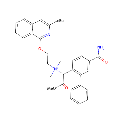 CCCCc1cc2ccccc2c(OCC[N+](C)(C)[C@@H](C(=O)OC)c2ccc(C(N)=O)cc2-c2ccccc2)n1